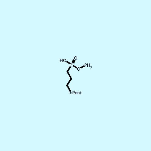 CCCCCCCCP(=O)(O)OP